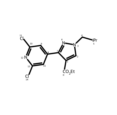 CCOC(=O)c1cn(CC(C)C)nc1-c1cc(Cl)nc(Cl)c1